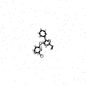 C=Cc1nc(-c2ccccc2)c(Oc2ccnc(Cl)n2)s1